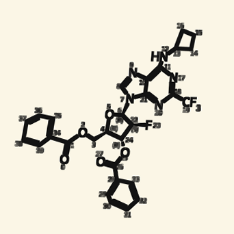 O=C(OC[C@H]1O[C@@H](n2cnc3c(NC4CCC4)nc(C(F)(F)F)nc32)[C@@H](F)[C@@H]1OC(=O)c1ccccc1)c1ccccc1